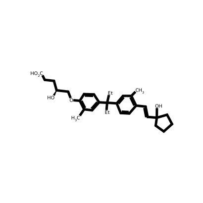 CCC(CC)(c1ccc(C=CC2(O)CCCC2)c(C)c1)c1ccc(OC[C@@H](O)CCC(=O)O)c(C)c1